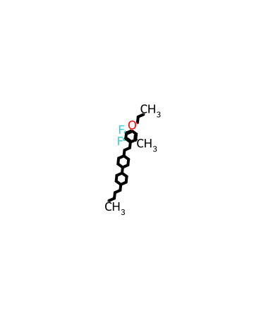 CCCCCC1CCC(C2CCC(CCc3c(C)cc(OCCCC)c(F)c3F)CC2)CC1